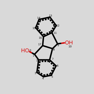 OC1c2ccccc2C2C(O)c3ccccc3C12